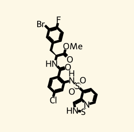 COC(=O)[C@H](Cc1ccc(F)c(Br)c1)NC(=O)c1ccc(Cl)cc1NS(=O)(=O)C1=CC=CN2SNC=C12